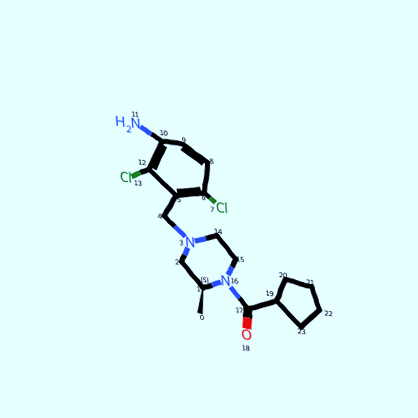 C[C@H]1CN(Cc2c(Cl)ccc(N)c2Cl)CCN1C(=O)C1CCCC1